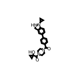 O=C(c1ccc(-c2ccc3c(c2)CNN3C2CC2)cc1)N1CCN(C(=O)C2(O)CC2)CC1